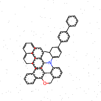 CC1CC(c2ccc(-c3ccccc3)cc2)=CC=C1N(c1cccc2c1-c1cc(C3CC=C4C=CC=CC4C3)c3ccccc3c1OC2)c1cccc2ccccc12